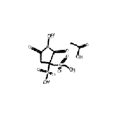 CC(=O)O.O=C1CC(S(=O)(=O)O)(S(=O)(=O)O)C(=O)N1O